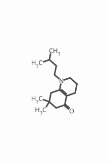 CC(C)CCN1CCCC2=C1CC(C)(C)CC2=O